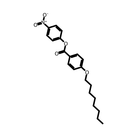 CCCCCCCCOc1ccc(C(=O)Oc2ccc([N+](=O)[O-])cc2)cc1